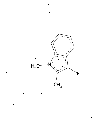 Cc1c(F)c2ccccc2n1C